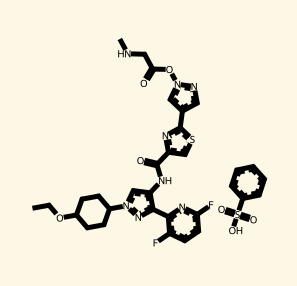 CCOC1CCC(n2cc(NC(=O)c3csc(-c4cnn(OC(=O)CNC)c4)n3)c(-c3nc(F)ccc3F)n2)CC1.O=S(=O)(O)c1ccccc1